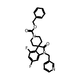 O=C(OCc1ccccc1)N1CCC2(CC1)C(=O)N(Cc1cccnc1)c1cc(F)cc(F)c12